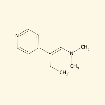 [CH2]CC(=CN(C)C)c1ccncc1